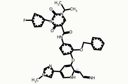 CC(C)n1cc(C(=O)Nc2ccc(OC3=CC(c4cn(C)cn4)=CN/C3=C\C=N)c(OCc3ccccc3)c2)c(=O)n(-c2ccc(F)cc2)c1=O